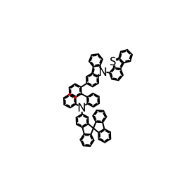 c1ccc(N(c2ccc3c(c2)C2(c4ccccc4-c4ccccc42)c2ccccc2-3)c2ccccc2-c2ccccc2-c2ccc3c(c2)c2ccccc2n3-c2cccc3c2sc2ccccc23)cc1